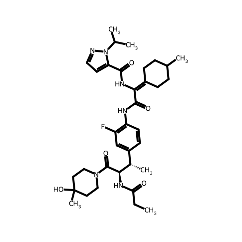 CCC(=O)N[C@@H](C(=O)N1CCC(C)(O)CC1)[C@@H](C)c1ccc(NC(=O)C(NC(=O)c2ccnn2C(C)C)=C2CCC(C)CC2)c(F)c1